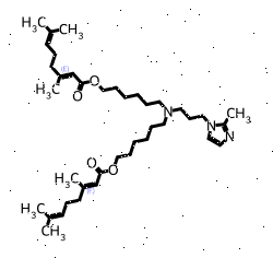 CC(C)=CCC/C(C)=C/C(=O)OCCCCCCN(CCCCCCOC(=O)/C=C(\C)CCC=C(C)C)CCCn1ccnc1C